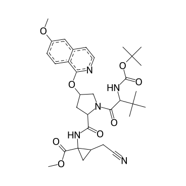 COC(=O)C1(NC(=O)C2CC(Oc3nccc4cc(OC)ccc34)CN2C(=O)C(NC(=O)OC(C)(C)C)C(C)(C)C)CC1CC#N